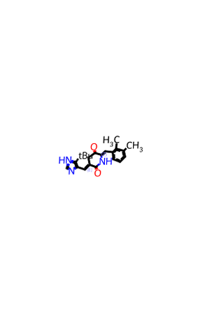 Cc1cccc(/C=C2\NC(=O)/C(=C/c3nc[nH]c3C(C)(C)C)CC2=O)c1C